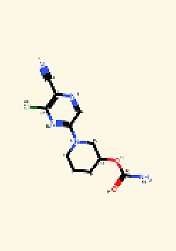 N#Cc1ncc(N2CCCC(OC(N)=O)C2)nc1Cl